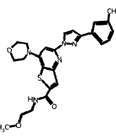 COCCNC(=O)c1cc2nc(-n3ccc(-c4cccc(C)c4)n3)cc(N3CCOCC3)c2s1